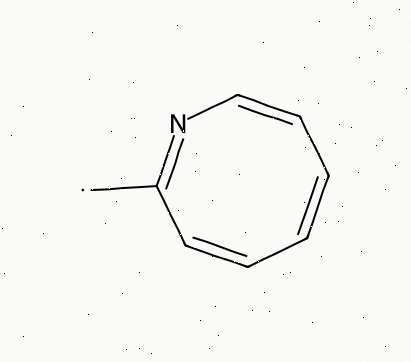 [CH2]C1=NC=CC=CC=C1